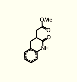 COC(=O)CC1Cc2cc[c]cc2NC1=O